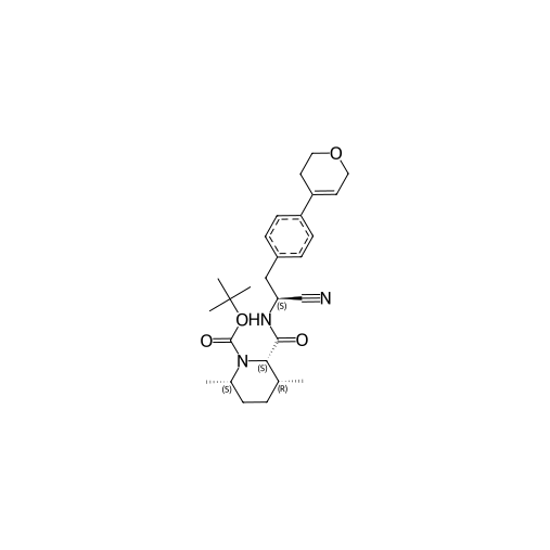 C[C@@H]1CC[C@H](C)N(C(=O)OC(C)(C)C)[C@@H]1C(=O)N[C@H](C#N)Cc1ccc(C2=CCOCC2)cc1